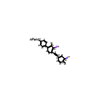 CCCCCc1ccc(-c2ccc(C#Cc3ccc(C)c(I)c3)c(I)c2C)cc1